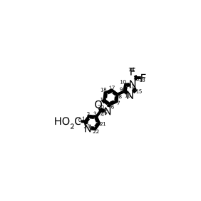 O=C(O)c1cc(-c2nc3cc(-c4cn(C(F)F)cn4)ccc3o2)ccn1